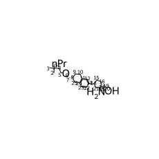 CCCC(C)(C)CCOC[C@@H]1CCc2cc([C@H]3CC[C@](N)(CO)C3)ccc2C1